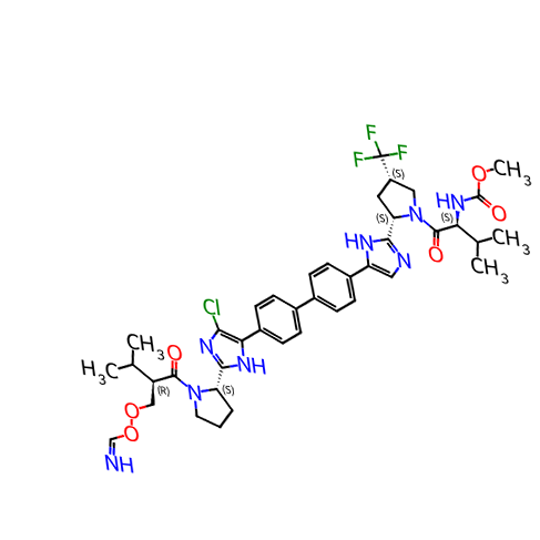 COC(=O)N[C@H](C(=O)N1C[C@@H](C(F)(F)F)C[C@H]1c1ncc(-c2ccc(-c3ccc(-c4[nH]c([C@@H]5CCCN5C(=O)[C@@H](COOC=N)C(C)C)nc4Cl)cc3)cc2)[nH]1)C(C)C